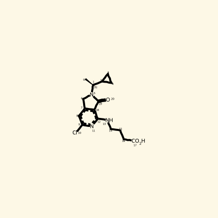 C[C@@H](C1CC1)N1Cc2cc(Cl)nc(NCCCC(=O)O)c2C1=O